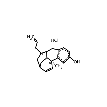 C=CCN1CC2C=C[C@]3(C)c4cc(O)ccc4CC1C3C2.Cl